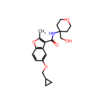 Cc1oc2ccc(OCC3CC3)cc2c1C(=O)NC1(CO)CCOCC1